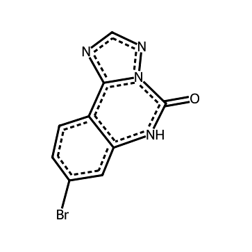 O=c1[nH]c2cc(Br)ccc2c2ncnn12